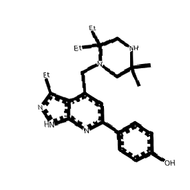 CCc1n[nH]c2nc(-c3ccc(O)cc3)cc(CN3CC(C)(C)NCC3(CC)CC)c12